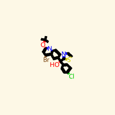 CC(C)(C)Oc1cc(Br)c2cc(C(O)(c3ccc(Cl)cc3)c3nccs3)ccc2n1